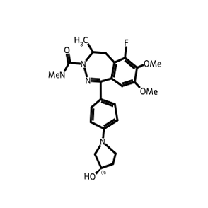 CNC(=O)N1N=C(c2ccc(N3CC[C@@H](O)C3)cc2)c2cc(OC)c(OC)c(F)c2CC1C